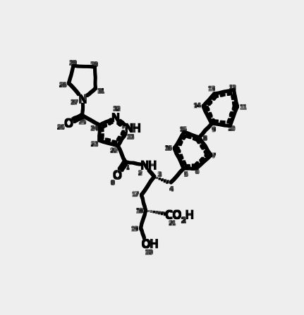 O=C(N[C@H](Cc1ccc(-c2ccccc2)cc1)C[C@@H](CO)C(=O)O)c1cc(C(=O)N2CCCC2)n[nH]1